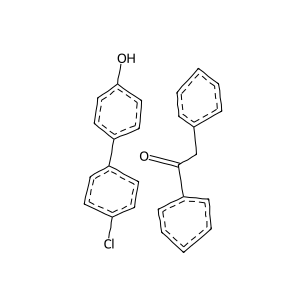 O=C(Cc1ccccc1)c1ccccc1.Oc1ccc(-c2ccc(Cl)cc2)cc1